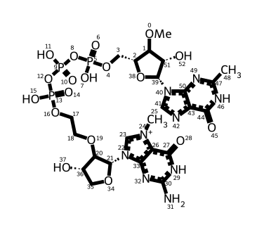 COC1[C@@H](COP(=O)(O)OP(=O)(O)OP(=O)(O)OCCOC2[C@H](n3c[n+](C)c4c(=O)[nH]c(N)nc43)OC[C@@H]2O)O[C@@H](n2cnc3c(=O)[nH]c(C)nc32)[C@H]1O